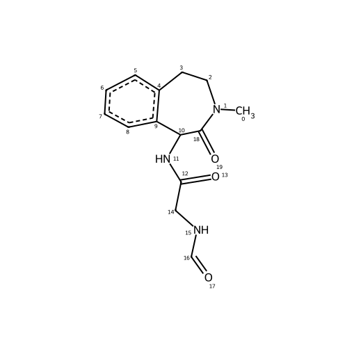 CN1CCc2ccccc2C(NC(=O)CNC=O)C1=O